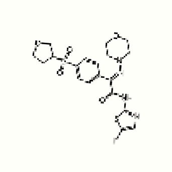 O=C(Nc1ncc(F)s1)/C(=N/N1CCOCC1)c1ccc(S(=O)(=O)[C@H]2CCOC2)cc1